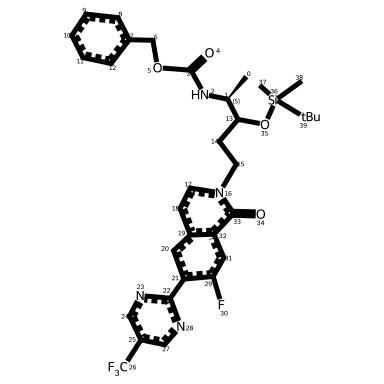 C[C@H](NC(=O)OCc1ccccc1)C(CCn1ccc2cc(-c3ncc(C(F)(F)F)cn3)c(F)cc2c1=O)O[Si](C)(C)C(C)(C)C